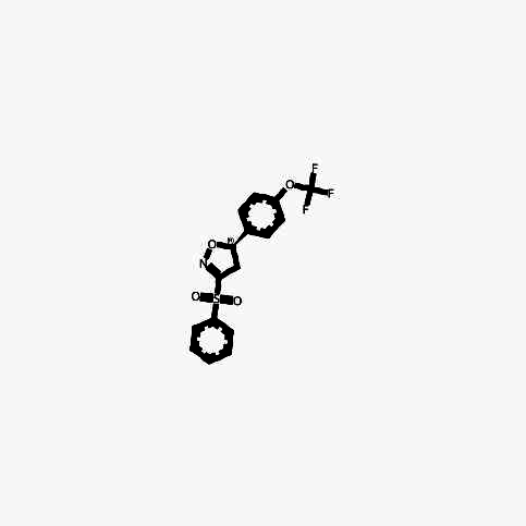 O=S(=O)(C1=NO[C@@H](c2ccc(OC(F)(F)F)cc2)C1)c1ccccc1